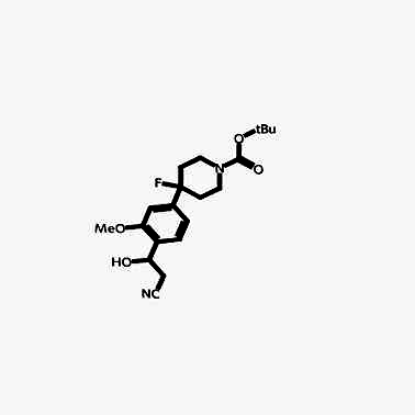 COc1cc(C2(F)CCN(C(=O)OC(C)(C)C)CC2)ccc1C(O)CC#N